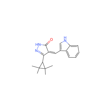 CC1(C)C(C2=NNC(=O)C2=Cc2c[nH]c3ccccc23)C1(C)C